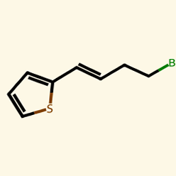 BrCCC=Cc1cccs1